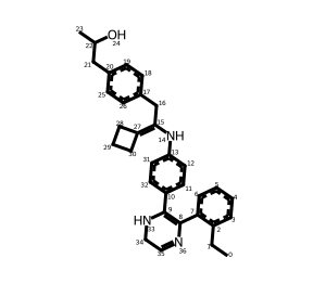 CCc1ccccc1C1=C(c2ccc(NC(Cc3ccc(CC(C)O)cc3)=C3CCC3)cc2)NCC=N1